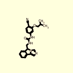 CC(C)COc1cc(NC(=O)NCC2c3ccccc3-c3cncn32)ccc1C#N